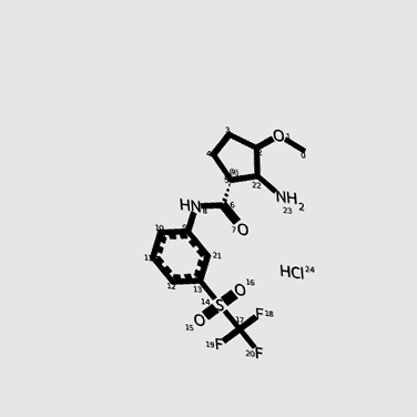 COC1CC[C@@H](C(=O)Nc2cccc(S(=O)(=O)C(F)(F)F)c2)C1N.Cl